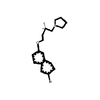 C[C@@H](CCOc1ccc2cc(Br)ccc2c1)CN1CCCC1